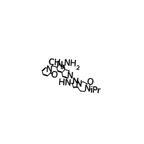 CC(C)N1CCc2cc(Nc3cc4cc([C@H](C)n5ccccc5=O)nc(N)c4cn3)nn2CC1=O